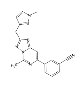 Cn1ccc(Cc2nc3cc(-c4cccc(C#N)c4)nc(N)n3n2)n1